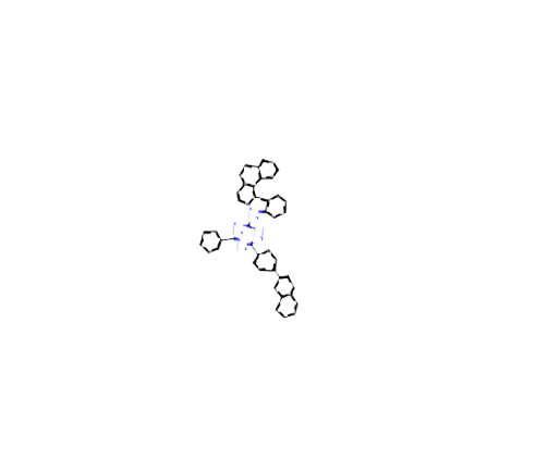 c1ccc(-c2nc(-c3ccc(-c4ccc5ccccc5c4)cc3)nc(-n3c4ccccc4c4c5c(ccc6ccccc65)ccc43)n2)cc1